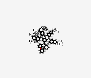 CC1(C)Cc2ccc(N3c4cc5c(cc4B4c6cc7c(cc6N(c6ccc8c(c6)C(C)(C)CCC8(C)C)c6cc(N8c9ccccc9C9(c%10ccccc%10)CCCCC89C)cc3c64)C(C)(C)CCC7(C)C)CC(C)(C)C5)cc2C1